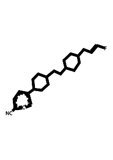 N#Cc1ccc(C2CCC(CCC3CCC(CC=CF)CC3)CC2)cc1